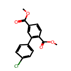 COC(=O)c1ccc(C(=O)OC)c(-c2ccc(Cl)cc2)c1